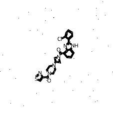 O=C(c1cscn1)N1CCN(C2CN(C(=O)c3cccc4[nH]c(-c5ccccc5Cl)nc34)C2)CC1